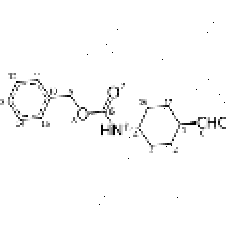 O=C[C@H]1CC[C@H](NC(=O)OCc2ccccc2)CC1